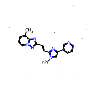 CCCn1cc(-c2cccnc2)nc1/C=C/c1nc2c(C)cccn2n1